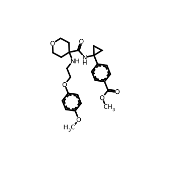 COC(=O)c1ccc(C2(NC(=O)C3(NCCOc4ccc(OC)cc4)CCOCC3)CC2)cc1